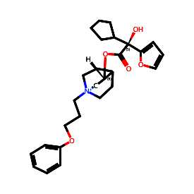 O=C(O[C@H]1C[N+]2(CCCOc3ccccc3)CCC1CC2)[C@@](O)(c1ccco1)C1CCCC1